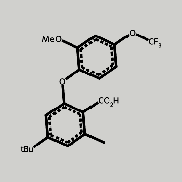 COc1cc(OC(F)(F)F)ccc1Oc1cc(C(C)(C)C)cc(C)c1C(=O)O